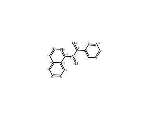 O=C(c1cccnc1)[N+](=O)c1nccc2ccccc12